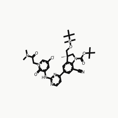 CN(C)C(=O)Cn1cc(Cl)cc(Nc2nccc(-c3cc(C#N)c4c(c3)[C@@](C)(CO[Si](C)(C)C(C)(C)C)CN4C(=O)OC(C)(C)C)n2)c1=O